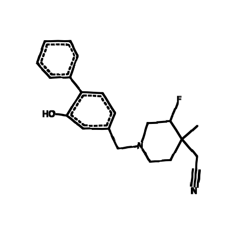 CC1(CC#N)CCN(Cc2ccc(-c3ccccc3)c(O)c2)CC1F